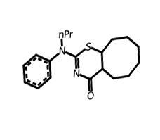 CCCN(C1=NC(=O)C2CCCCCCC2S1)c1ccccc1